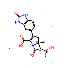 C[C@@H](O)[C@H]1C(=O)N2C(C(=O)O)=C(c3ccc4[nH]c(=O)[nH]c4c3)C[C@H]12